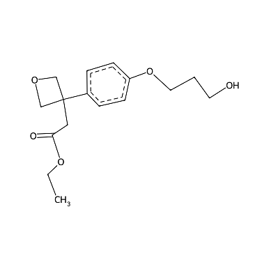 CCOC(=O)CC1(c2ccc(OCCCO)cc2)COC1